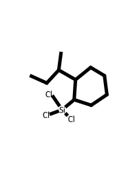 CCC(C)C1CCCCC1[Si](Cl)(Cl)Cl